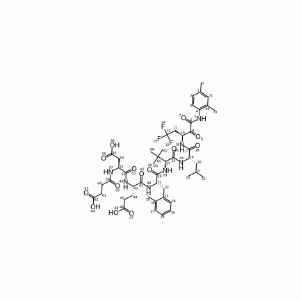 Cc1ccc(NC(=O)C(=O)[C@H](CC(F)(F)F)NC(=O)[C@H](CC(C)C)NC(=O)[C@@H](NC(=O)[C@H](Cc2ccccc2C)NC(=O)[C@H](CCC(=O)O)NC(=O)[C@H](CC(=O)O)NC(=O)CCC(=O)O)C(C)(C)C)c(C)c1